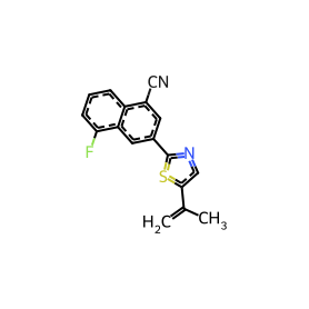 C=C(C)c1cnc(-c2cc(C#N)c3cccc(F)c3c2)s1